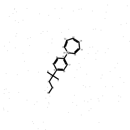 CCCC(C)(C)c1ccc(N2C=CC=CC=C2)cc1